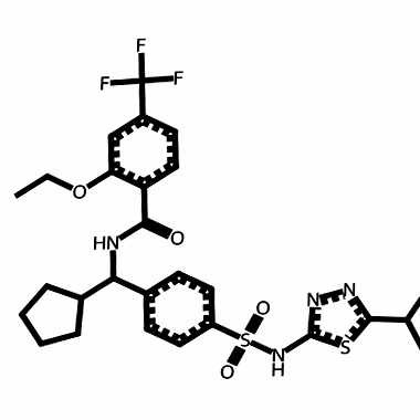 CCOc1cc(C(F)(F)F)ccc1C(=O)NC(c1ccc(S(=O)(=O)Nc2nnc(C(C)C)s2)cc1)C1CCCC1